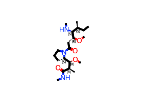 CC[C@H](C)[C@H](NC)[C@@H](CC(=O)N1CCC[C@H]1[C@H](OC)[C@@H](C)C(=O)NC)OC